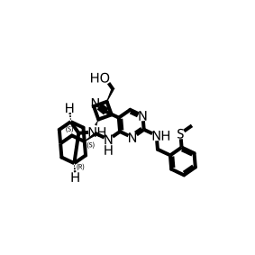 CSc1ccccc1CNc1ncc(C#N)c(NC[C@]23CC4C[C@H](C2)C(N[C@H]2C[C@H](CO)C2)[C@@H](C4)C3)n1